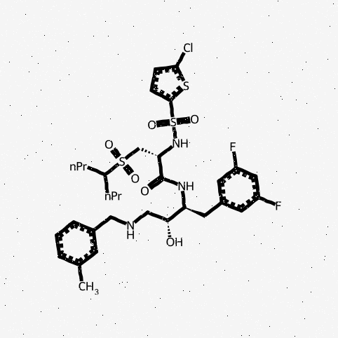 CCCC(CCC)S(=O)(=O)C[C@H](NS(=O)(=O)c1ccc(Cl)s1)C(=O)N[C@@H](Cc1cc(F)cc(F)c1)[C@H](O)CNCc1cccc(C)c1